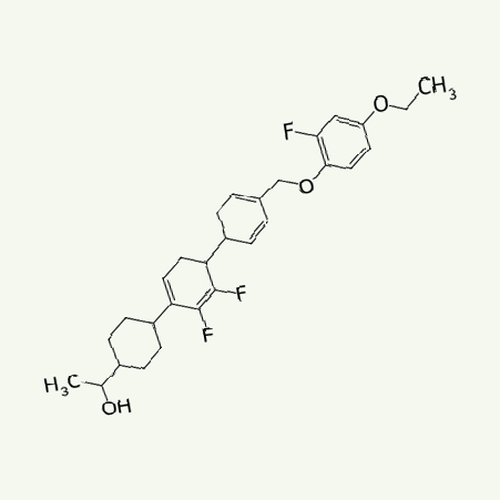 CCOc1ccc(OCC2=CCC(C3CC=C(C4CCC(C(C)O)CC4)C(F)=C3F)C=C2)c(F)c1